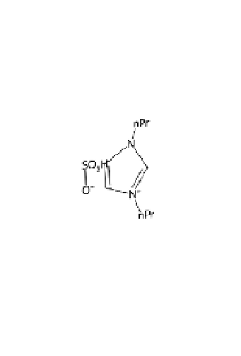 CCCn1cc[n+](CCC)c1.O=S(=O)([O-])O